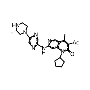 CC(=O)c1c(C)c2cnc(Nc3cnc(N4CCN[C@@H](C)C4)cn3)cc2n(C2CCCC2)c1=O